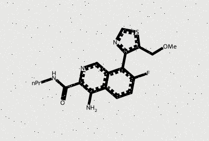 CCCNC(=O)c1ncc2c(-c3ncsc3COC)c(F)ccc2c1N